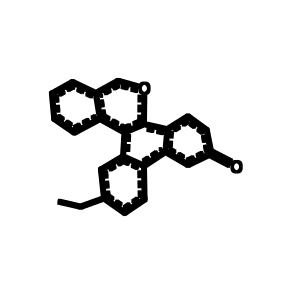 CCc1ccc2c3cc(=O)ccc3c3occ4ccccc4c3c2c1